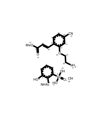 CC(=O)Nc1c(O)cccc1[As](=O)(O)O.COC(=O)C=Cc1ccc(C#N)cc1OCCN.Cl